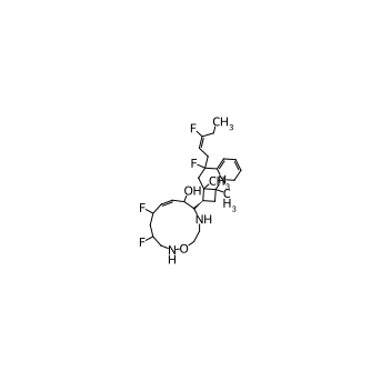 CC/C(F)=C\CC1(F)CC2(C)[C@H](C3NCCONCC(F)CC(F)/C=C\C3O)CC2(C)N2CC=CC=C21